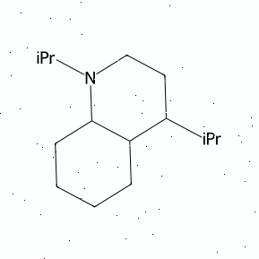 CC(C)C1CCN(C(C)C)C2CCCCC12